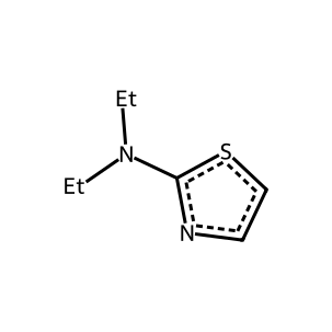 CCN(CC)c1nccs1